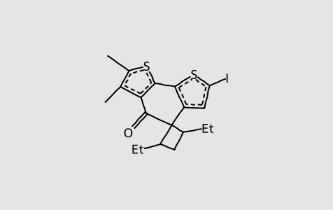 CCC1CC(CC)C12C(=O)c1c(sc(C)c1C)-c1sc(I)cc12